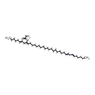 CCCCC/C=C/C/C=C/CCCCCCCCCCCCCCCCC/C=C(/C/C=C/CCCCC)OC(N)=O